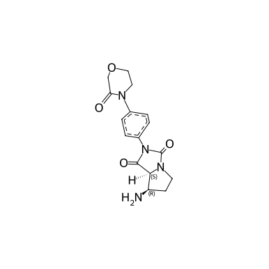 N[C@@H]1CCN2C(=O)N(c3ccc(N4CCOCC4=O)cc3)C(=O)[C@H]12